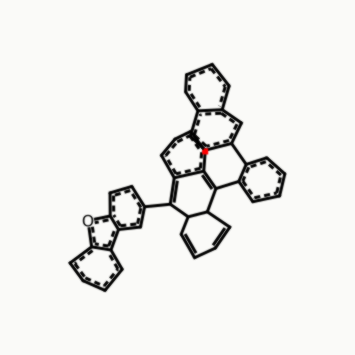 C1=CC2C(c3ccc4oc5ccccc5c4c3)=c3ccccc3=C(c3ccccc3-c3ccc4ccccc4c3)C2C=C1